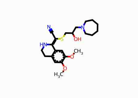 COc1cc2c(cc1OC)C(=C(C#N)SCC(O)CN1CCCCCC1)NCC2